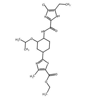 CCOC(=O)c1sc(N2CCC(NC(=O)c3nc(Cl)c(CC)[nH]3)C(OC(C)C)C2)nc1C